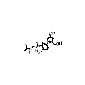 CC(=O)NCCN(C)c1nc(N2CC(O)CC2CO)ccc1N